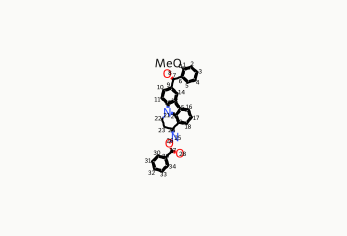 COc1ccccc1C(=O)c1ccc2c(c1)c1cccc3c1n2CC/C3=N\OC(=O)c1ccccc1